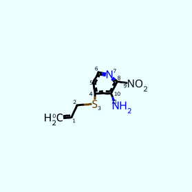 C=CCSc1ccnc([N+](=O)[O-])c1N